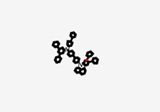 c1ccc(-c2ccc(N(c3ccc(-c4ccc(N(c5ccc(-c6ccccc6)c(-c6ccccc6)c5)c5cccc6ccccc56)cc4)cc3)c3cc(-c4ccccc4)cc(-c4ccccc4)c3)cc2)cc1